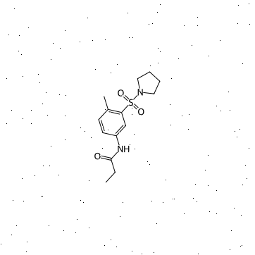 CCC(=O)Nc1ccc(C)c(S(=O)(=O)N2CCCC2)c1